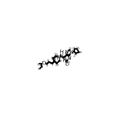 CCC(C)OCCCC1CCN(Nc2nc(Cl)nc3c2ncn3C2CCCC2)CC1